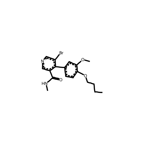 CCCCOc1ccc(-c2c(Br)cncc2C(=O)NC)cc1OC